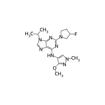 COc1nn(C)cc1Nc1nc(N2CCC(F)C2)nc2c1ncn2C(C)C